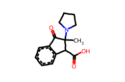 CC1(N2CCCC2)C(=O)c2ccccc2C1C(=O)O